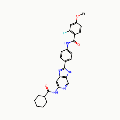 CCOc1ccc(C(=O)Nc2ccc(-c3nc4cc(NC(=O)C5CCCCC5)ncc4[nH]3)cc2)c(F)c1